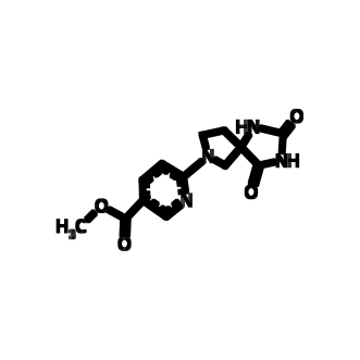 COC(=O)c1ccc(N2CCC3(C2)NC(=O)NC3=O)nc1